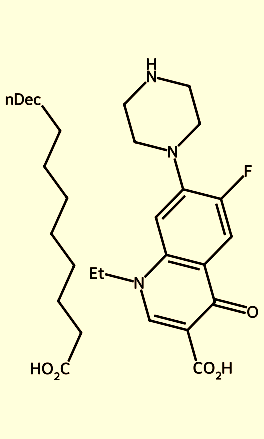 CCCCCCCCCCCCCCCCCC(=O)O.CCn1cc(C(=O)O)c(=O)c2cc(F)c(N3CCNCC3)cc21